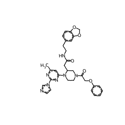 Cc1cc(N2CCN(C(=O)COc3ccccc3)CC2CC(=O)NCCc2ccc3c(c2)OCO3)nc(-n2ccnc2)n1